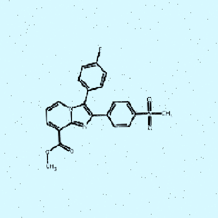 COC(=O)c1cccn2c(-c3ccc(F)cc3)c(-c3ccc(S(C)(=O)=O)cc3)nc12